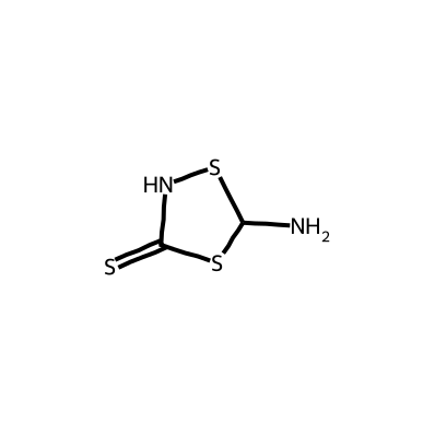 NC1SNC(=S)S1